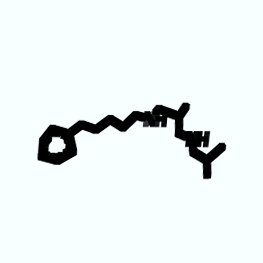 CC(C)CNCC(C)CNCCCCCc1ccccc1